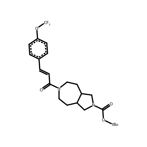 CC(C)(C)OC(=O)N1CC2CCN(C(=O)/C=C/c3ccc(OC(F)(F)F)cc3)CCC2C1